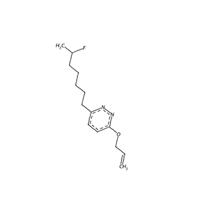 C=CCOc1ccc(CCCCCC(C)F)nn1